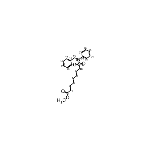 COC(=O)CCCCCCCS(=O)(=O)N(Cc1ccccc1)c1ccccc1